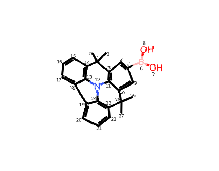 CC1(C)c2cc(B(O)O)cc3c2-n2c4c1cccc4c1cccc(c12)C3(C)C